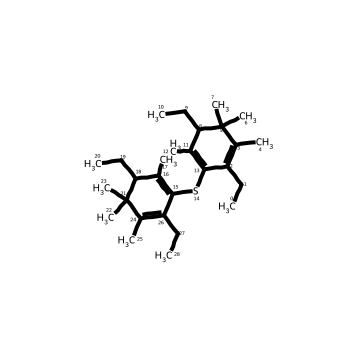 CCC1=C(C)C(C)(C)C(CC)C(C)=C1SC1=C(C)C(CC)C(C)(C)C(C)=C1CC